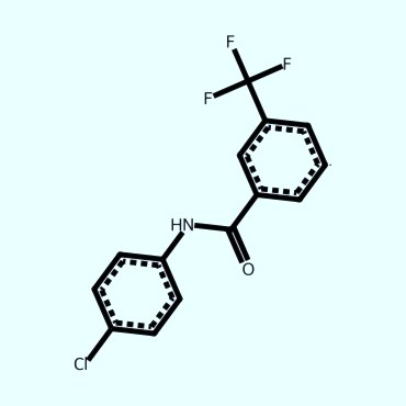 O=C(Nc1ccc(Cl)cc1)c1c[c]cc(C(F)(F)F)c1